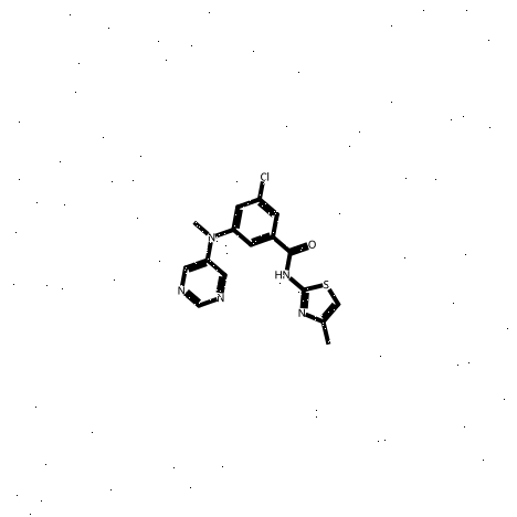 Cc1csc(NC(=O)c2cc(Cl)cc(N(C)c3cncnc3)c2)n1